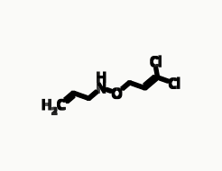 C=CCNOCC=C(Cl)Cl